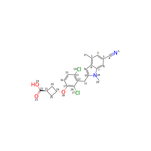 Cc1cc(C#N)cc2c1cc(Cc1c(Cl)ccc(O[C@H]3C[C@H](C(=O)O)C3)c1Cl)n2C